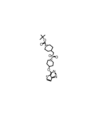 CC(C)(C)OC(=O)N1CCC(CS(=O)(=O)N2CCC(Oc3ncnc4ccsc34)CC2)CC1